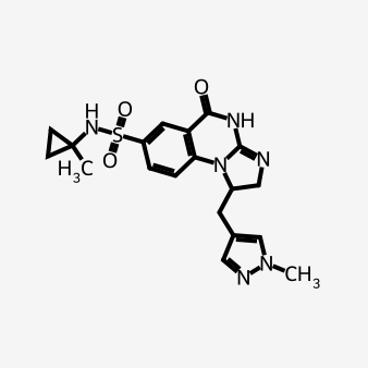 Cn1cc(CC2CN=C3NC(=O)c4cc(S(=O)(=O)NC5(C)CC5)ccc4N32)cn1